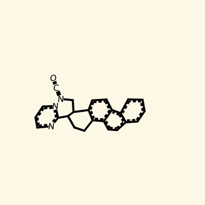 O=C=NCC1c2ccc3c(ccc4ccccc43)c2CCC1c1ncccn1